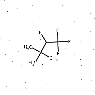 CC(C)(C)C(F)C(F)(F)F